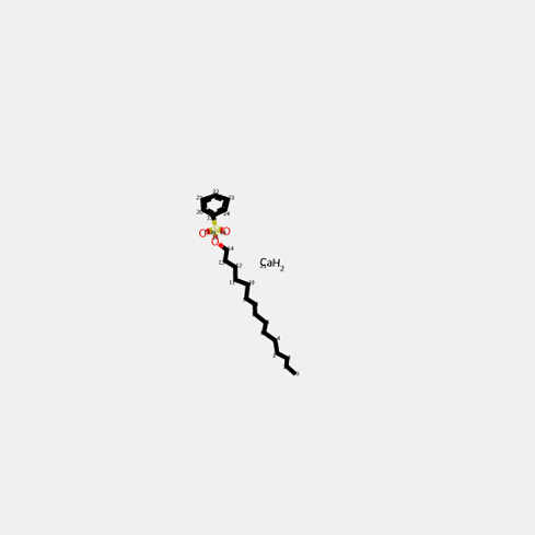 CCCCCCCCCCCCCCCOS(=O)(=O)c1ccccc1.[CaH2]